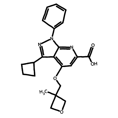 CC1(COc2cc(C(=O)O)nc3c2c(C2CCC2)nn3-c2ccccc2)COC1